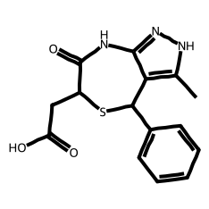 Cc1[nH]nc2c1C(c1ccccc1)SC(CC(=O)O)C(=O)N2